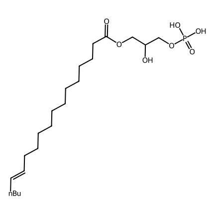 CCCCC=CCCCCCCCCCCCC(=O)OCC(O)COP(=O)(O)O